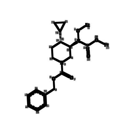 CCON([C@H]1CN(C(=O)OCc2ccccc2)CC[C@@H]1C1CC1)[PH](=O)OCC